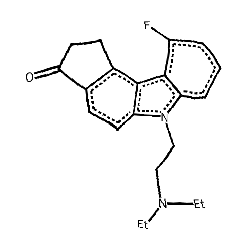 CCN(CC)CCn1c2cccc(F)c2c2c3c(ccc21)C(=O)CC3